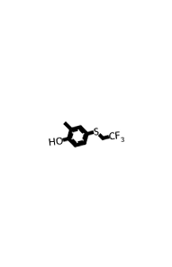 Cc1cc(SCC(F)(F)F)ccc1O